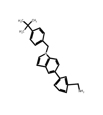 CC(C)(C)c1ccc(Cn2ccc3cc(-c4cccc(CN)c4)ccc32)cc1